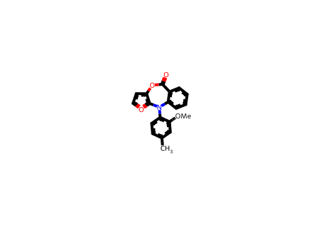 COc1cc(C)ccc1N1c2ccccc2C(=O)Oc2ccoc21